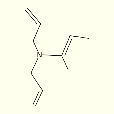 C=CCN(CC=C)C(C)=CC